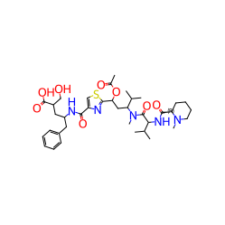 CC(=O)OC(CC(C(C)C)N(C)C(=O)C(NC(=O)[C@H]1CCCCN1C)C(C)C)c1nc(C(=O)NC(Cc2ccccc2)CC(CO)C(=O)O)cs1